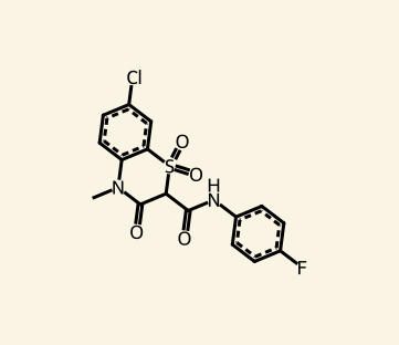 CN1C(=O)C(C(=O)Nc2ccc(F)cc2)S(=O)(=O)c2cc(Cl)ccc21